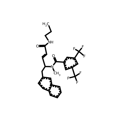 CCCNC(=O)C=CC(Cc1ccc2ccccc2c1)N(C)C(=O)c1cc(C(F)(F)F)cc(C(F)(F)F)c1